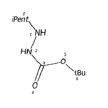 CCCC(C)NNC(=O)OC(C)(C)C